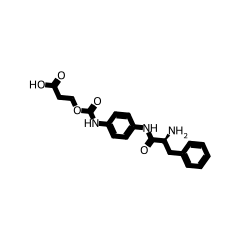 N[C@@H](Cc1ccccc1)C(=O)Nc1ccc(NC(=O)OCCC(=O)O)cc1